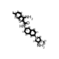 Cc1ccc2c(N)c(C(=O)N[C@H]3CCc4cc(N5C[C@H](CF)[C@H](N)C5)ccc4C3)sc2n1